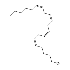 CCCCC/C=C\C/C=C\C/C=C\C/C=C\CCCC[O]